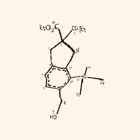 CCOC(=O)C1(C(=O)OCC)Cc2ccc(CO)c([Si](C)(C)C)c2C1